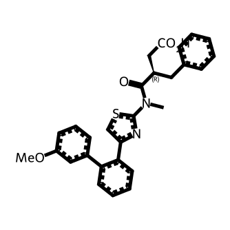 COc1cccc(-c2ccccc2-c2csc(N(C)C(=O)[C@@H](CC(=O)O)Cc3ccccc3)n2)c1